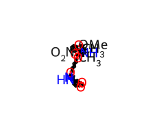 COC(=O)C1=C(C)NC(C)=C(C(=O)OCCCCCCOc2cc(-c3ccc4c(c3)OCO4)[nH]n2)C1c1cccc([N+](=O)[O-])c1